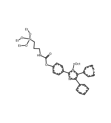 CCCCCCCCn1c(-c2ccc(OC(=O)NCCC[Si](OCC)(OCC)OCC)cc2)nc(-c2ccccc2)c1-c1ccccc1